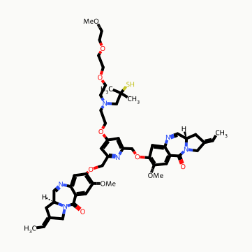 C/C=C1\C[C@H]2C=Nc3cc(OCc4cc(OCCN(CCOCCOCCOC)CC(C)(C)S)cc(COc5cc6c(cc5OC)C(=O)N5C/C(=C/C)C[C@H]5C=N6)n4)c(OC)cc3C(=O)N2C1